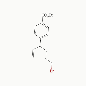 C=CC(CCCBr)c1ccc(C(=O)OCC)cc1